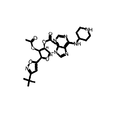 CC(=O)OC1C(c2cc(C(C)(C)C)no2)O[C@@H](n2cnc3c(NC4CCNCC4)ncnc32)[C@@H]1OC(C)=O